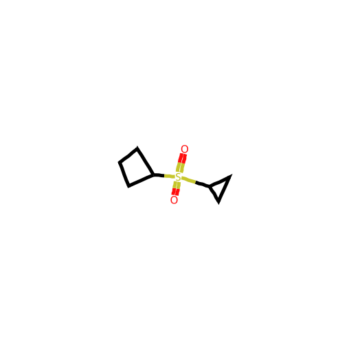 O=S(=O)(C1[CH]CC1)C1CC1